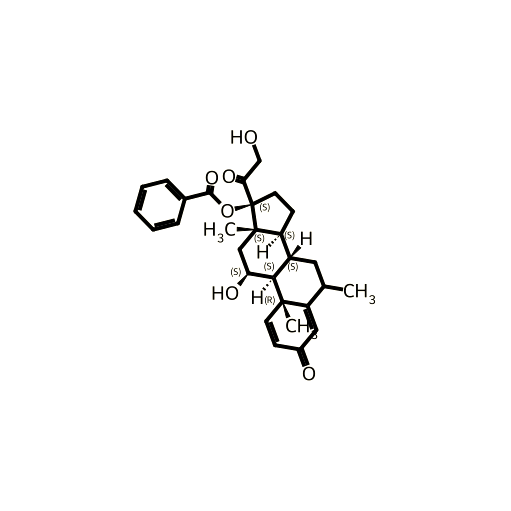 CC1C[C@@H]2[C@H]([C@@H](O)C[C@@]3(C)[C@H]2CC[C@@]3(OC(=O)c2ccccc2)C(=O)CO)[C@@]2(C)C=CC(=O)C=C12